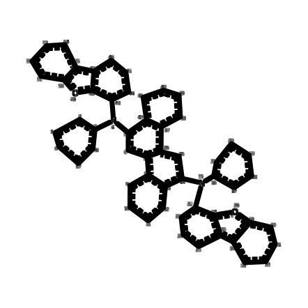 c1ccc(N(c2cc3c4ccccc4c(N(c4ccccc4)c4cccc5c4oc4ccccc45)cc3c3ccccc23)c2cccc3c2oc2ccccc23)cc1